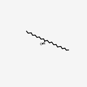 CCCCCCCCCCCC(CCCCCCCCC)N=O